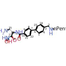 CCCCCNCc1ccc(-c2ccc(C(=O)N[C@@H](CN)C(=O)NO)cc2)cc1